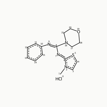 Cl.Cn1ccsc1=NC(=Nc1ccccc1)N1CCOCC1